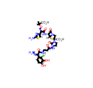 CC(C)(O/N=C(\C(=O)N[C@@H]1C(=O)N2C[C@@](C(=O)O)(N3CCN(NC(=O)CCNC(=O)/C(=N\N)c4ccc(O)c(O)c4Cl)C3=O)S[C@H]12)c1csc(N)n1)C(=O)O